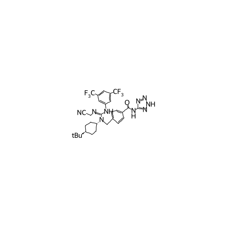 CC(C)(C)[C@H]1CC[C@H](N(Cc2ccc(C(=O)Nc3nn[nH]n3)cc2)/C(=N\CC#N)Nc2cc(C(F)(F)F)cc(C(F)(F)F)c2)CC1